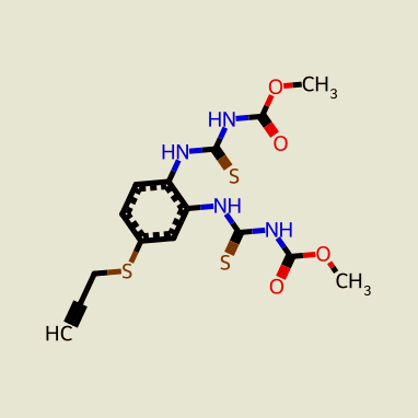 C#CCSc1ccc(NC(=S)NC(=O)OC)c(NC(=S)NC(=O)OC)c1